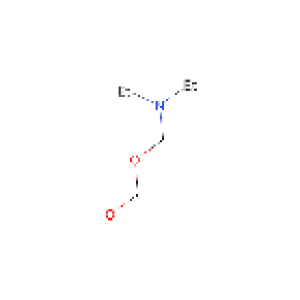 CCN(CC)COC[O]